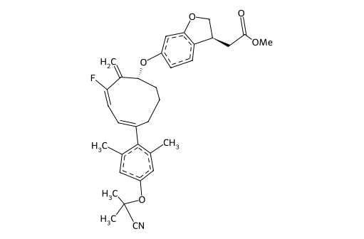 C=C1/C(F)=C\C=C(\c2c(C)cc(OC(C)(C)C#N)cc2C)CCC[C@H]1Oc1ccc2c(c1)OC[C@H]2CC(=O)OC